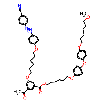 COCCCCCCOc1ccc(Oc2ccc(OCCCCCCOC(=O)c3cc(OCCCCCCOc4ccc(/N=N/c5ccc(C#N)cc5)cc4)cc(C(C)=O)c3)cc2)cc1